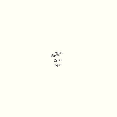 [Be+2].[Te-2].[Te-2].[Zn+2]